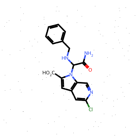 NC(=O)C(NCc1ccccc1)n1c(C(=O)O)cc2cc(Cl)ncc21